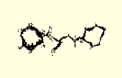 O=C(CNC1CCCCC1)Nc1cc[c]cc1